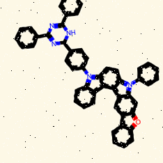 c1ccc(C2=NC(c3ccc(-n4c5ccccc5c5c6c7cc8c(cc7n(-c7ccccc7)c6ccc54)oc4ccccc48)cc3)NC(c3ccccc3)=N2)cc1